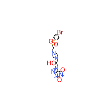 Cn1c(=O)c2c(ncn2CC(O)CN2CCN(CCCS(=O)(=O)c3ccc(Br)cc3)CC2)n(C)c1=O